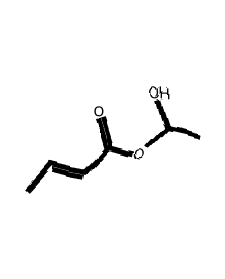 C/C=C/C(=O)OC(C)O